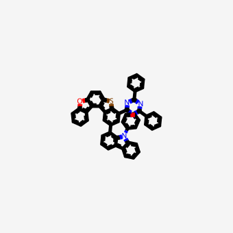 c1ccc(-c2nc(-c3ccccc3)nc(-c3cc(-c4cccc5c6ccccc6n(-c6ccccc6)c45)cc4c3sc3ccc5oc6ccccc6c5c34)n2)cc1